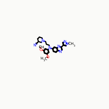 COc1cc(OC)cc(N(CCCN2CCCC(C#N)C2)c2ccc3ncc(-c4cnn(C)c4)nc3c2)c1